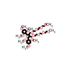 COCCOCCOCCOCc1c(-c2c(OC)cc(OC)cc2OC)sc(-c2c(OC)cc(OC)cc2OC)c1COCCOCCOCCOC